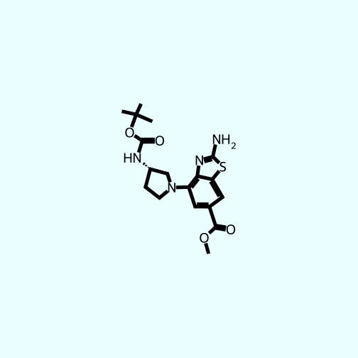 COC(=O)c1cc(N2CC[C@H](NC(=O)OC(C)(C)C)C2)c2nc(N)sc2c1